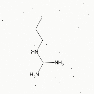 NC(N)NCCI